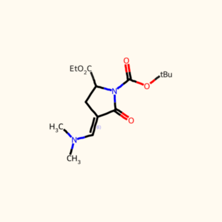 CCOC(=O)C1C/C(=C\N(C)C)C(=O)N1C(=O)OC(C)(C)C